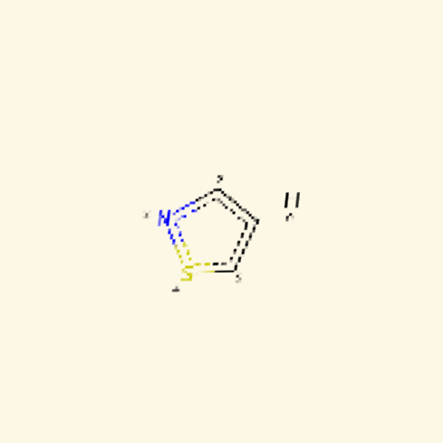 [H+].c1cnsc1